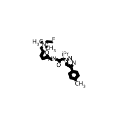 Cc1ccc(-c2cn([C@H](C(=O)NCc3ccc(C[N+](C)(C)CCF)o3)C(C)C)nn2)cc1